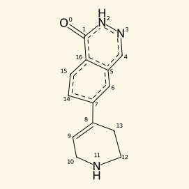 O=c1[nH]ncc2cc(C3=CCNCC3)ccc12